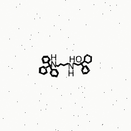 OC(CCNCCCCNC(c1ccccc1)(c1ccccc1)c1ccccc1)(c1ccccc1)C1CCCCC1